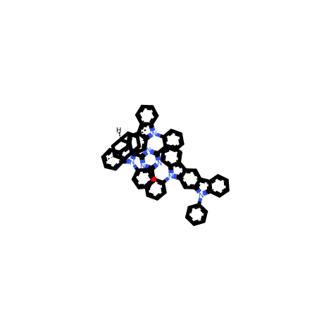 C[C@@H]1C[C@H]2C[C@H](C)CC(c3nc(-c4ccccc4-n4c5ccccc5c5cc6c7ccccc7n(-c7ccccc7)c6cc54)nc(-c4ccccc4-n4c5ccccc5c5cc6c7ccccc7n(-c7ccccc7)c6cc54)n3)(C1)C2